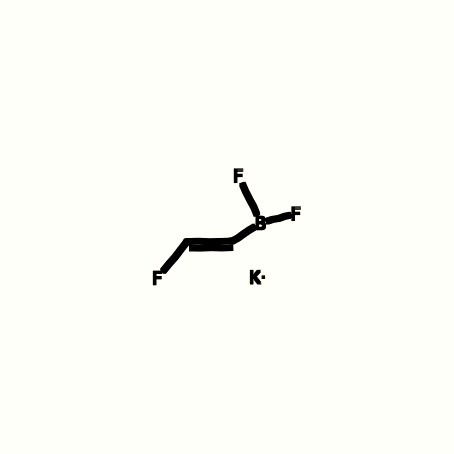 FC=CB(F)F.[K]